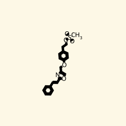 CS(=O)(=O)OCCc1ccc(OCc2coc(C=Cc3ccccc3)n2)cc1